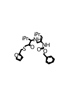 CC(C)CC(CNC(C(=O)CSCc1ccco1)C(C)C)NC(=O)OCc1ccccc1